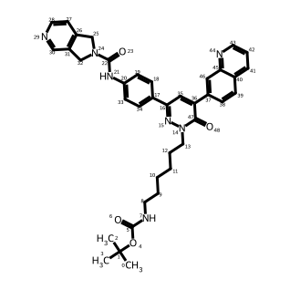 CC(C)(C)OC(=O)NCCCCCCn1nc(-c2ccc(NC(=O)N3Cc4ccncc4C3)cc2)cc(-c2ccc3cccnc3c2)c1=O